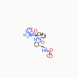 C[C@@H](NC(=O)c1nccnc1N)c1nc2cccc(C#CCNC(=O)[C@H]3CCCO3)c2c(=O)n1-c1ccccc1